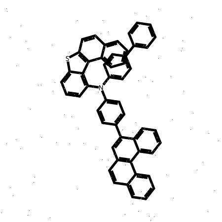 c1ccc(-c2ccc(N(c3ccc(-c4cc5ccc6ccccc6c5c5ccccc45)cc3)c3cccc4sc5ccc6ccccc6c5c34)cc2)cc1